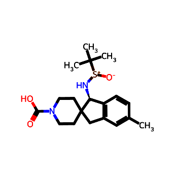 Cc1ccc2c(c1)CC1(CCN(C(=O)O)CC1)[C@H]2N[S+]([O-])C(C)(C)C